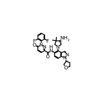 CC1(C)CN(c2c(NC(=O)c3ccc(=O)n(-c4c(F)cccc4F)n3)ccc3c2cnn3[C@@H]2CCOC2)C[C@@H]1N